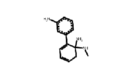 CNC1(N)CC=CC=C1c1cccc(N)c1